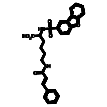 O=C(C=Cc1ccccc1)NCCCCC(NS(=O)(=O)c1ccc2oc3ccccc3c2c1)C(=O)O